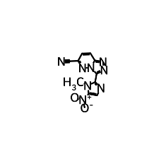 Cn1c([N+](=O)[O-])cnc1-c1nnc2ccc(C#N)nn12